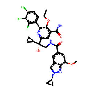 CCOc1c(C(N)=O)cc([C@@](O)(CNC(=O)c2cc(OC)c3nn(C4CC4)cc3c2)C2CC2)nc1-c1ccc(Cl)c(Cl)c1Cl